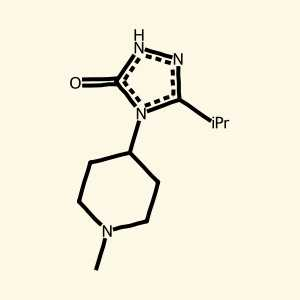 CC(C)c1n[nH]c(=O)n1C1CCN(C)CC1